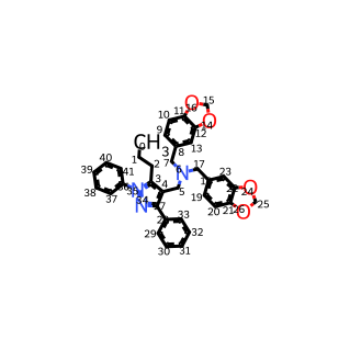 CCCc1c(CN(Cc2ccc3c(c2)OCO3)Cc2ccc3c(c2)OCO3)c(-c2ccccc2)nn1-c1ccccc1